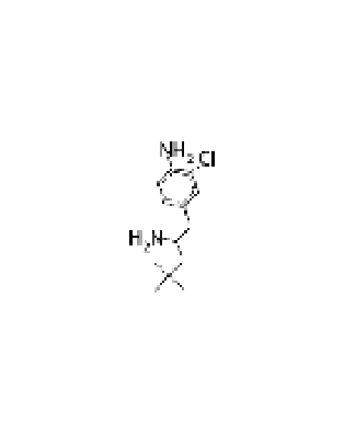 CC(C)(C)CC(N)Cc1ccc(N)c(Cl)c1